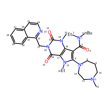 CCCCN(CC)C(=O)c1c(N2CCCN(C)CC2)n(CC)c2c(=O)n(Cc3nccc4ccccc34)c(=O)n(C)c12